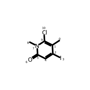 Cc1c(I)cc(=O)n(C)c1Cl